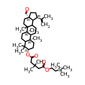 C=C(C)[C@@H]1CC[C@]2(C=O)CC[C@]3(C)C(CCC4[C@@]5(C)CC[C@H](OC(=O)CC(C)(C)CC(=O)OCC[Si](C)(C)C)C(C)(C)C5CC[C@]43C)C12